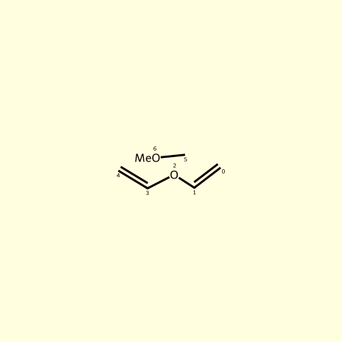 C=COC=C.COC